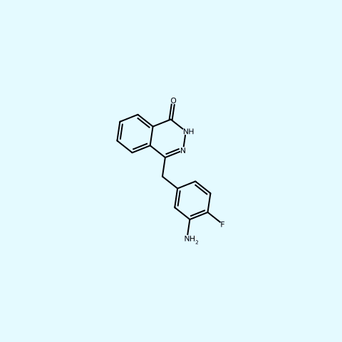 Nc1cc(Cc2n[nH]c(=O)c3ccccc23)ccc1F